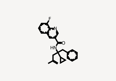 C=C(C)CC(Cc1ccccc1)(NC(=O)c1cnc2c(F)cccc2c1)C1CC1